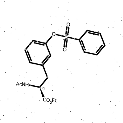 CCOC(=O)[C@H](Cc1cccc(OS(=O)(=O)c2ccccc2)c1)NC(C)=O